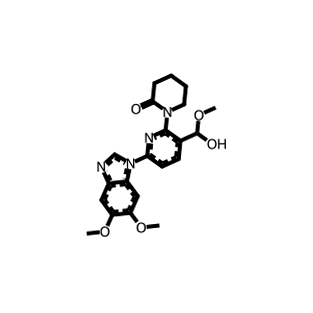 COc1cc2ncn(-c3ccc(C(O)OC)c(N4CCCCC4=O)n3)c2cc1OC